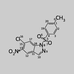 Cc1ccc(S(=O)(=O)n2ncc3cc([N+](=O)[O-])c(Cl)cc32)cc1